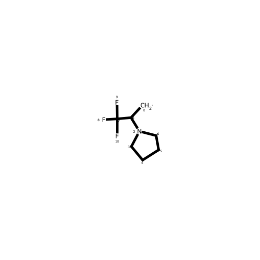 [CH2]C(N1CCCC1)C(F)(F)F